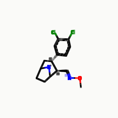 CO/N=C/[C@H]1C2CCC(C[C@@H]1c1ccc(Cl)c(Cl)c1)N2C